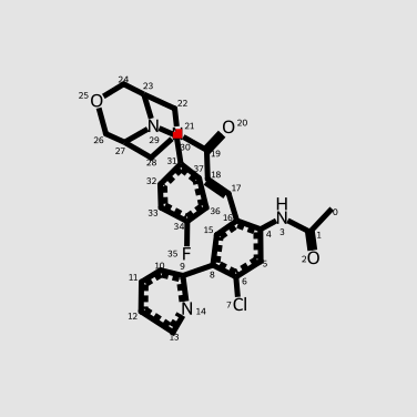 CC(=O)Nc1cc(Cl)c(-c2ccccn2)cc1/C=C/C(=O)N1CC2COCC(C1)N2Cc1ccc(F)cc1